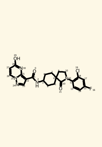 O=C(NC1CCC2(CC1)CCN(c1ccc(F)cc1Cl)C2=O)c1cnn2ccc(O)nc12